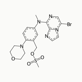 CN(c1ccc(N2CCOCC2)c(COS(C)(=O)=O)c1)c1ncc(Br)n2ccnc12